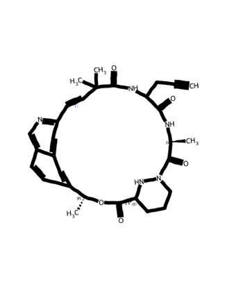 C#CCC1NC(=O)C(C)(C)/C=C/c2cc3cc(ccc3cn2)[C@@H](C)OC(=O)[C@@H]2CCCN(N2)C(=O)[C@H](C)NC1=O